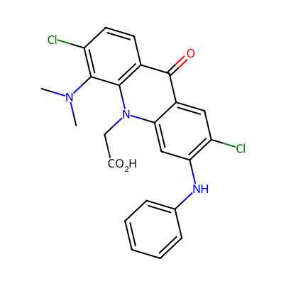 CN(C)c1c(Cl)ccc2c(=O)c3cc(Cl)c(Nc4ccccc4)cc3n(CC(=O)O)c12